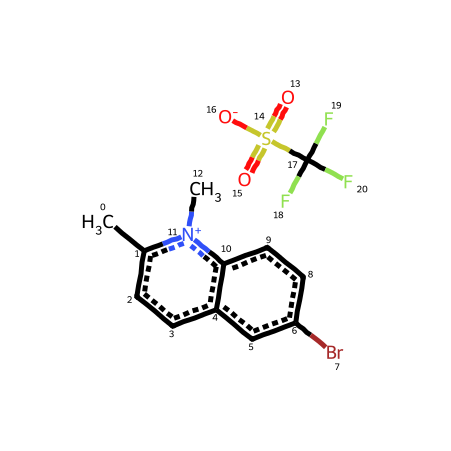 Cc1ccc2cc(Br)ccc2[n+]1C.O=S(=O)([O-])C(F)(F)F